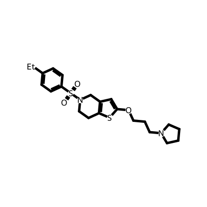 CCc1ccc(S(=O)(=O)N2CCc3sc(OCCCN4CCCC4)cc3C2)cc1